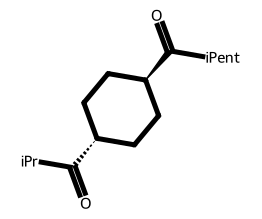 CCCC(C)C(=O)[C@H]1CC[C@H](C(=O)C(C)C)CC1